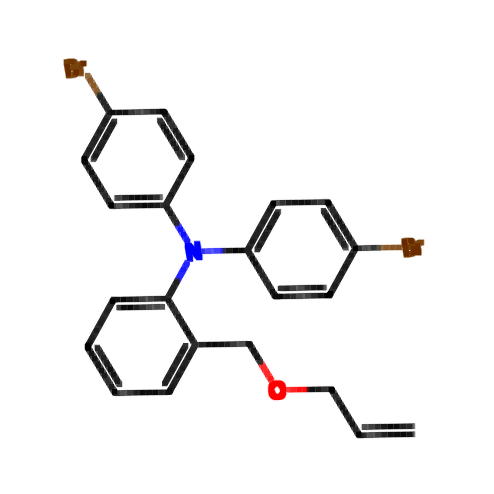 C=CCOCc1ccccc1N(c1ccc(Br)cc1)c1ccc(Br)cc1